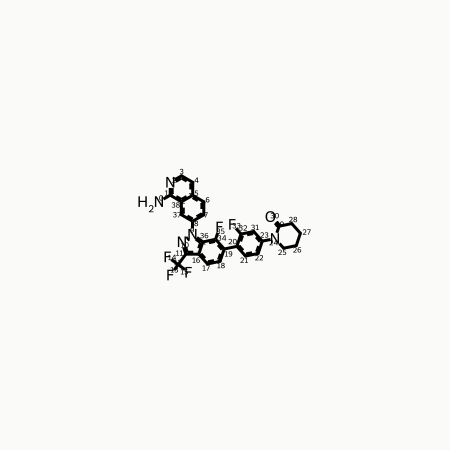 Nc1nccc2ccc(-n3nc(C(F)(F)F)c4ccc(-c5ccc(N6CCCCC6=O)cc5F)c(F)c43)cc12